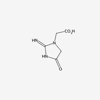 N=C1NC(=O)CN1CC(=O)O